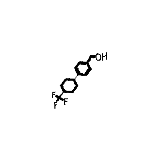 OCc1ccc([C@H]2CC[C@H](C(F)(F)F)CC2)cc1